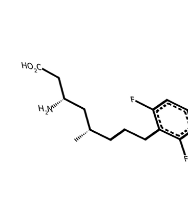 C[C@@H](CCCc1c(F)cccc1F)C[C@H](N)CC(=O)O